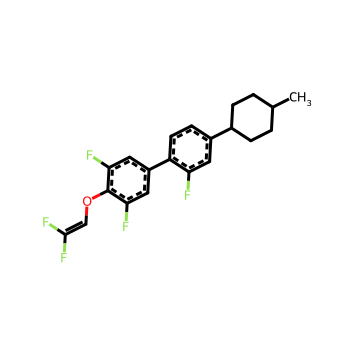 CC1CCC(c2ccc(-c3cc(F)c(OC=C(F)F)c(F)c3)c(F)c2)CC1